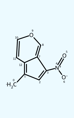 [CH2]c1cc([N+](=O)[O-])c2coccc1-2